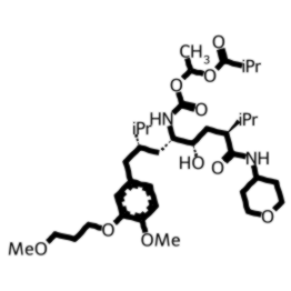 COCCCOc1cc(C[C@@H](C[C@H](NC(=O)OC(C)OC(=O)C(C)C)[C@@H](O)C[C@H](C(=O)NC2CCOCC2)C(C)C)C(C)C)ccc1OC